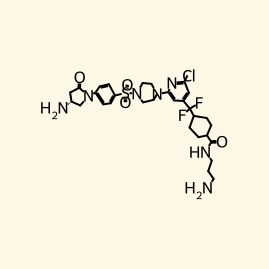 NCCCNC(=O)C1CCC(C(F)(F)c2cc(Cl)nc(N3CCN(S(=O)(=O)c4ccc(N5C[C@H](N)CC5=O)cc4)CC3)c2)CC1